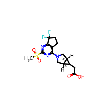 CS(=O)(=O)c1nc(N2C[C@@H]3C(CC(=O)O)[C@@H]3C2)c2c(n1)C(F)(F)CC2